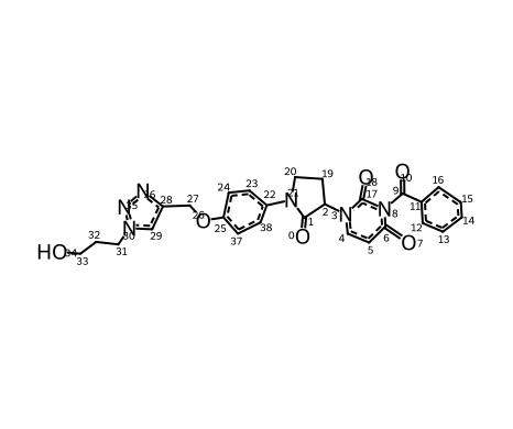 O=C1C(n2ccc(=O)n(C(=O)c3ccccc3)c2=O)CCN1c1ccc(OCc2cn(CCCO)nn2)cc1